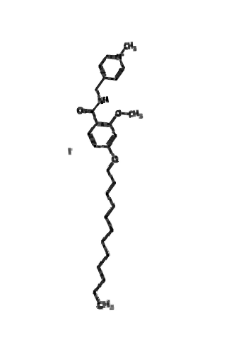 CCCCCCCCCCCCOc1ccc(C(=O)NCc2cc[n+](C)cc2)c(OC)c1.[I-]